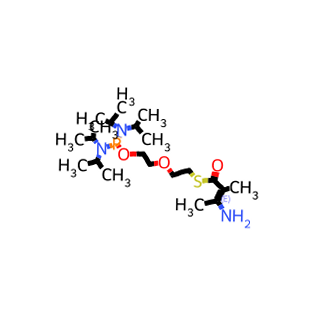 C/C(N)=C(/C)C(=O)SCCOCCOP(N(C(C)C)C(C)C)N(C(C)C)C(C)C